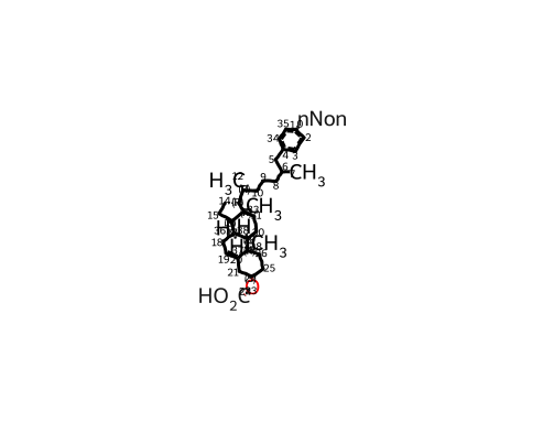 CCCCCCCCCc1ccc(CC(C)CCC[C@@H](C)[C@H]2CC[C@H]3[C@@H]4CC=C5C[C@@H](OC(=O)O)CC[C@]5(C)[C@H]4CC[C@]23C)cc1